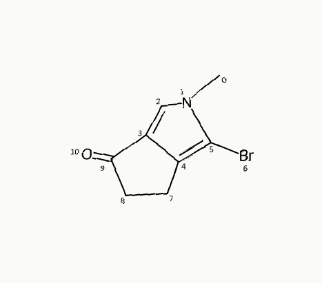 Cn1cc2c(c1Br)CCC2=O